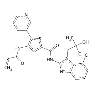 C=CC(=O)Nc1cc(C(=O)Nc2nc3cccc(Cl)c3n2CC(C)(C)O)sc1-c1cccnc1